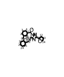 Cc1cccc(C(=O)n2nc(-c3ccco3)nc2NCc2ccccc2)c1